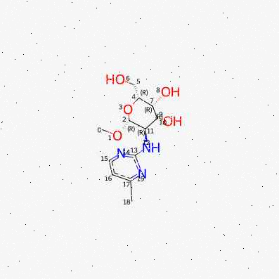 CO[C@@H]1O[C@H](CO)[C@H](O)[C@H](O)[C@H]1Nc1nccc(C)n1